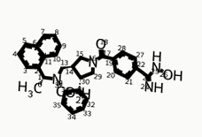 C[C@H](c1cccc2ccccc12)N(C[C@H]1CN(C(=O)c2ccc(C(=N)NO)cc2)C[C@@H]1c1ccccc1)C(=O)O